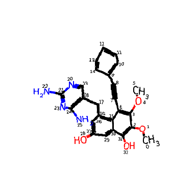 COc1c(OC)c(C#Cc2ccccc2)c2c(Cc3cnc(N)nc3N)cc(O)cc2c1O